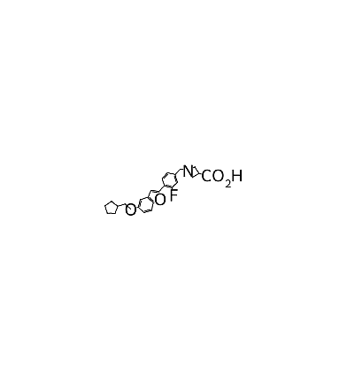 O=C(O)C1CN(Cc2ccc(-c3cc4cc(OCC5CCCC5)ccc4o3)c(F)c2)C1